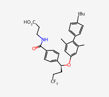 Cc1cc(O[C@@H](CCC(F)(F)F)c2ccc(C(=O)NCCC(=O)O)cc2)cc(C)c1-c1ccc(C(C)(C)C)cc1